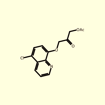 CC(=O)OCC(=O)COc1ccc(Cl)c2cccnc12